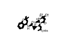 CCC1(CC)CC(=O)N(C(CC(C)OC)[C@@H]2C[C@H]2C(=O)N[C@H]2CC(C)(C)Oc3ccccc32)C(=N)N1